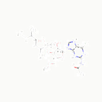 CC(C)OC[C@H]1O[C@@H](n2cnc3c(Cl)nc(NC(=O)C(C)C)nc32)[C@H](O)[C@@H]1O[Si](O)(C(C)C)C(C)CCC(C)SC(C)C